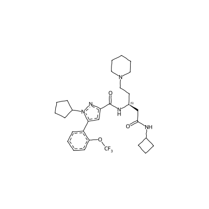 O=C(C[C@H](CCN1CCCCC1)NC(=O)c1cc(-c2ccccc2OC(F)(F)F)n(C2CCCC2)n1)NC1CCC1